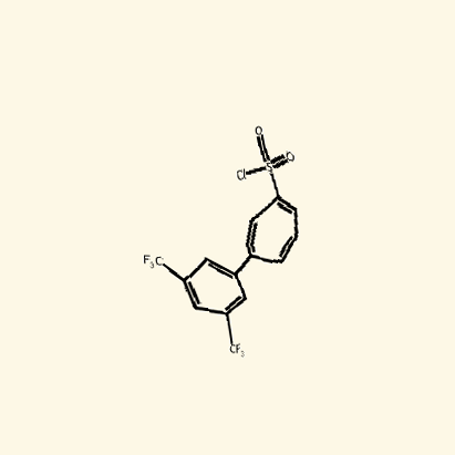 O=S(=O)(Cl)c1cccc(-c2cc(C(F)(F)F)cc(C(F)(F)F)c2)c1